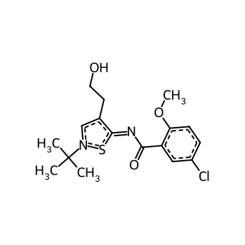 COc1ccc(Cl)cc1C(=O)/N=c1\sn(C(C)(C)C)cc1CCO